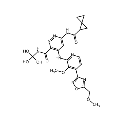 COCc1nc(-c2ccnc(Nc3cc(NC(=O)C4CC45CC5)nnc3C(=O)NC(O)(O)O)c2OC)no1